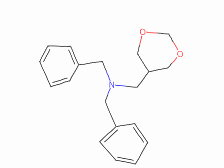 c1ccc(CN(Cc2ccccc2)CC2COCOC2)cc1